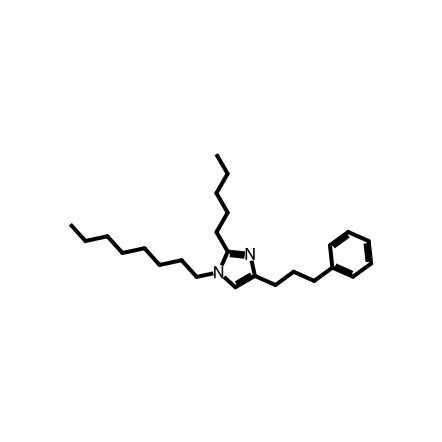 CCCCCCCCn1cc(CCCc2ccccc2)nc1CCCCC